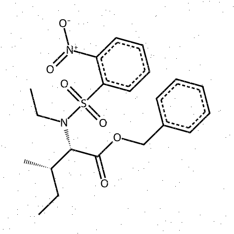 CC[C@H](C)[C@@H](C(=O)OCc1ccccc1)N(CC)S(=O)(=O)c1ccccc1[N+](=O)[O-]